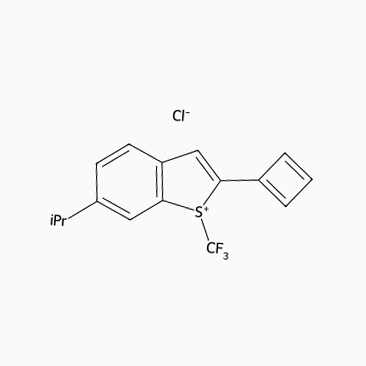 CC(C)c1ccc2cc(C3=CC=C3)[s+](C(F)(F)F)c2c1.[Cl-]